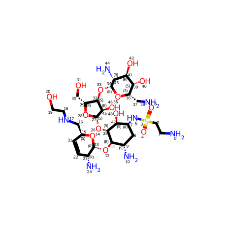 NCCS(=O)(=O)N[C@@H]1C[C@H](N)[C@@H](O[C@H]2O[C@H](CNCCO)C=C[C@H]2N)[C@H](O[C@@H]2O[C@H](CO)[C@@H](O[C@H]3O[C@@H](CN)[C@@H](O)[C@H](O)[C@H]3N)[C@H]2O)[C@H]1O